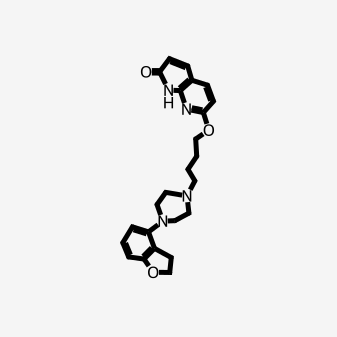 O=c1ccc2ccc(OCCCCN3CCN(c4cccc5c4CCO5)CC3)nc2[nH]1